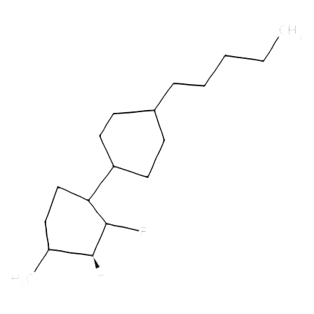 CCCCCC1CCC(C2CCC(C)[C@H](F)C2F)CC1